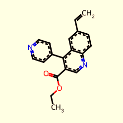 C=Cc1ccc2ncc(C(=O)OCC)c(-c3ccncc3)c2c1